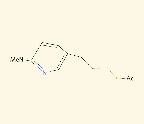 [CH]Nc1ccc(CCCSC(C)=O)cn1